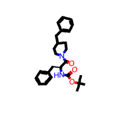 CC(C)(C)OC(=O)N[C@@H](Cc1ccccc1)C(=O)N1CCC(Cc2ccccc2)CC1